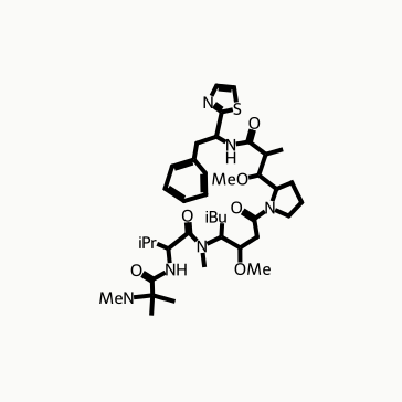 CCC(C)C(C(CC(=O)N1CCCC1C(OC)C(C)C(=O)NC(Cc1ccccc1)c1nccs1)OC)N(C)C(=O)C(NC(=O)C(C)(C)NC)C(C)C